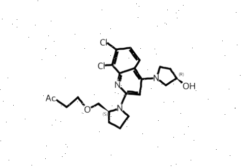 CC(=O)CCOC[C@@H]1CCCN1c1cc(N2CC[C@@H](O)C2)c2ccc(Cl)c(Cl)c2n1